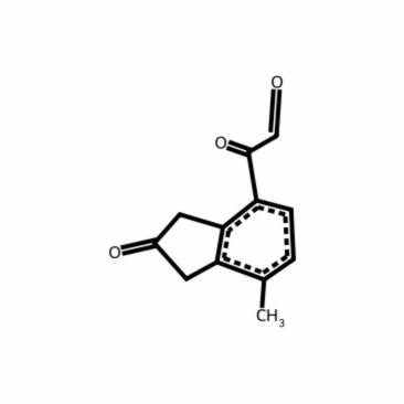 Cc1ccc(C(=O)C=O)c2c1CC(=O)C2